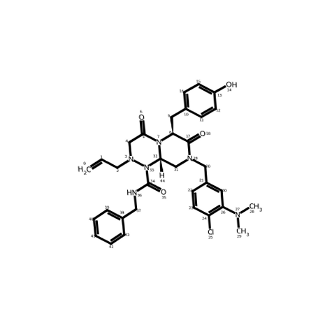 C=CCN1CC(=O)N2[C@@H](Cc3ccc(O)cc3)C(=O)N(Cc3ccc(Cl)c(N(C)C)c3)C[C@@H]2N1C(=O)NCc1ccccc1